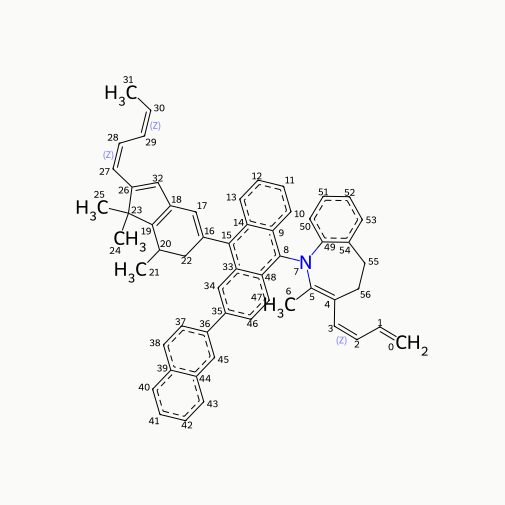 C=C/C=C\C1=C(C)N(c2c3ccccc3c(C3=CC4=C(C(C)C3)C(C)(C)C(/C=C\C=C/C)=C4)c3cc(-c4ccc5ccccc5c4)ccc23)c2ccccc2CC1